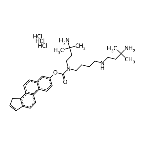 CC(C)(N)CCNCCCCN(CCC(C)(C)N)C(=O)Oc1ccc2c(ccc3c4c(ccc32)C=CC4)c1.Cl.Cl.Cl